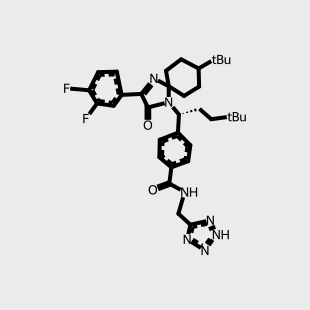 CC(C)(C)CC[C@H](c1ccc(C(=O)NCc2nn[nH]n2)cc1)N1C(=O)C(c2ccc(F)c(F)c2)=NC12CCC(C(C)(C)C)CC2